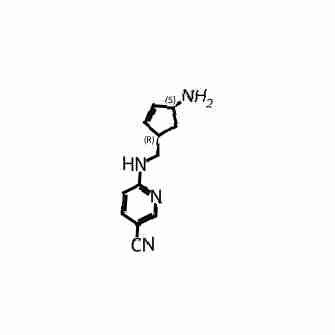 N#Cc1ccc(NC[C@H]2C=C[C@@H](N)C2)nc1